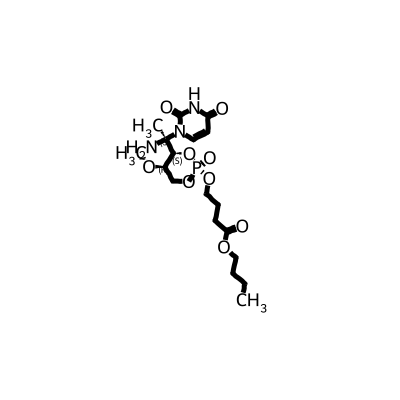 CCCCOC(=O)CCCOP1(=O)OC[C@@H](OC)[C@H]([C@@](C)(N)n2ccc(=O)[nH]c2=O)O1